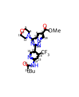 COC(=O)c1cc2c(N3CCOCC3)nc(-c3cnc(NC(=O)C(C)(C)C)cc3C(F)(F)F)nn2c1